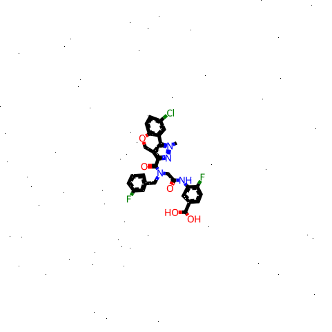 Cn1nc(C(=O)N(CC(=O)Nc2cc(C(O)O)ccc2F)Cc2cccc(F)c2)c2c1-c1cc(Cl)ccc1OC2